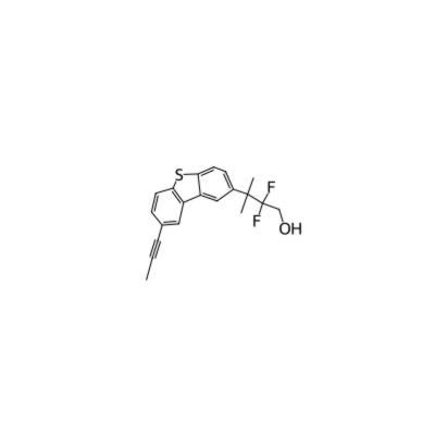 CC#Cc1ccc2sc3ccc(C(C)(C)C(F)(F)CO)cc3c2c1